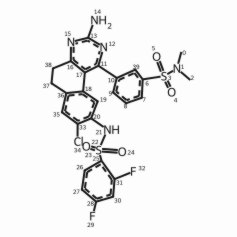 CN(C)S(=O)(=O)c1cccc(-c2nc(N)nc3c2-c2cc(NS(=O)(=O)c4ccc(F)cc4F)c(Cl)cc2CC3)c1